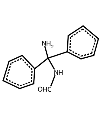 NC(NC=O)(c1ccccc1)c1ccccc1